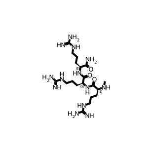 CN[C@@H](CCCNC(=N)N)C(=O)N[C@@H](CCCNC(=N)N)C(=O)N[C@@H](CCCNC(=N)N)C(N)=O